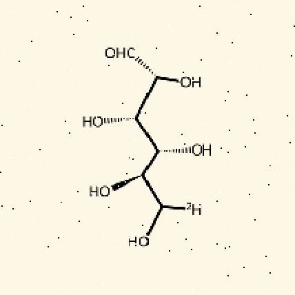 [2H]C(O)[C@@H](O)[C@@H](O)[C@H](O)[C@@H](O)C=O